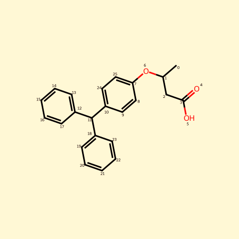 CC(CC(=O)O)Oc1ccc(C(c2ccccc2)c2ccccc2)cc1